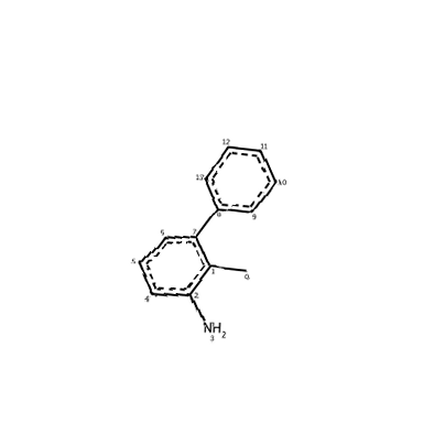 Cc1c(N)cccc1-c1ccccc1